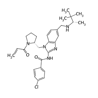 C=CC(=O)N1CCC[C@@H]1Cn1c(NC(=O)c2ccc(Cl)cc2)nc2cc(CN[C@@H](C)C(C)(C)C)ccc21